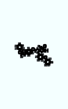 CN1C(=O)NCC1(CCOc1ccc(CC(C)(Oc2ccccc2)C(=O)O)cc1)Cc1cccc(Oc2ccccc2)c1